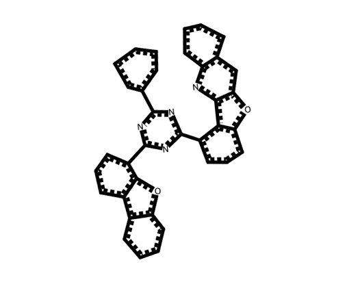 c1ccc(-c2nc(-c3cccc4c3oc3ccccc34)nc(-c3cccc4oc5cc6ccccc6nc5c34)n2)cc1